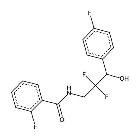 O=C(NCC(F)(F)C(O)c1ccc(F)cc1)c1ccccc1F